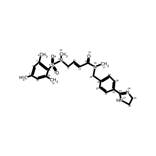 Cc1cc(C)c(S(=O)(=O)N(C)C/C=C/C(=O)N(C)Cc2ccc(C3=NCCN3)cc2)c(C)c1